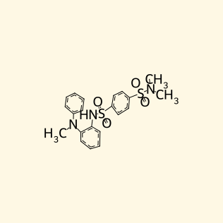 CN(c1ccccc1)c1ccccc1NS(=O)(=O)c1ccc(S(=O)(=O)N(C)C)cc1